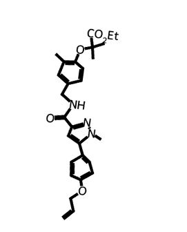 C=CCOc1ccc(-c2cc(C(=O)NCc3ccc(OC(C)(C)C(=O)OCC)c(C)c3)nn2C)cc1